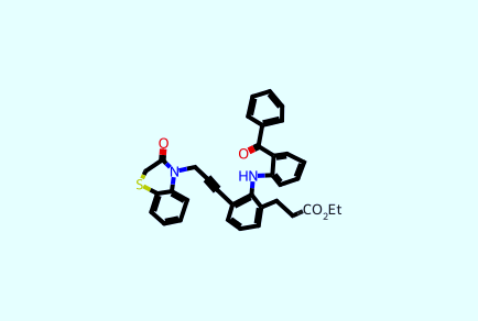 CCOC(=O)CCc1cccc(C#CCN2C(=O)CSc3ccccc32)c1Nc1ccccc1C(=O)c1ccccc1